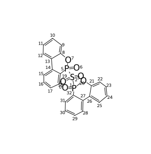 O=P1(S(=O)(=O)P2(=O)Oc3ccccc3-c3ccccc32)Oc2ccccc2-c2ccccc21